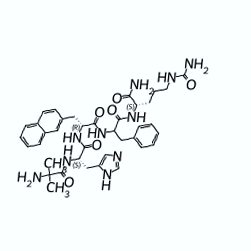 CC(C)(N)C(=O)N[C@@H](Cc1cnc[nH]1)C(=O)N[C@H](Cc1ccc2ccccc2c1)C(=O)NC(Cc1ccccc1)C(=O)N[C@@H](CCCNC(N)=O)C(N)=O